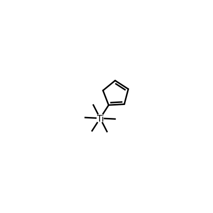 [CH3][Ti]([CH3])([CH3])([CH3])([CH3])[C]1=CC=CC1